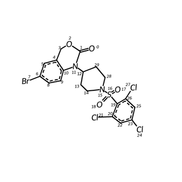 O=C1OCc2cc(Br)ccc2N1C1CCN(S(=O)(=O)c2c(Cl)cc(Cl)cc2Cl)CC1